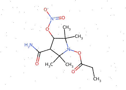 CCC(=O)ON1C(C)(C)C(O[N+](=O)[O-])C(C(N)=O)C1(C)C